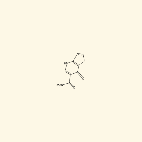 CNC(=O)c1c[nH]c2ccsc2c1=O